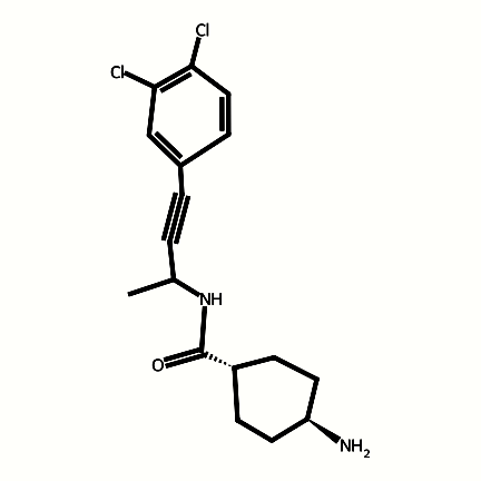 CC(C#Cc1ccc(Cl)c(Cl)c1)NC(=O)[C@H]1CC[C@H](N)CC1